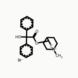 C[N+]12CCC(CC1)C(OC(=O)C(O)(c1ccccc1)c1ccccc1)C2.[Br-]